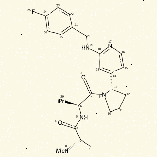 CN[C@@H](C)C(=O)N[C@H](C(=O)N1CCC[C@H]1c1ccnc(NCc2ccc(F)cc2)c1)C(C)C